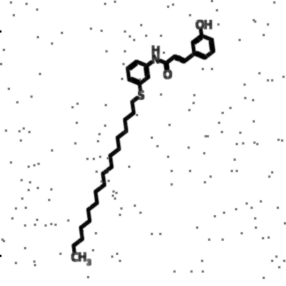 CCCCCCCCCCCCCCCCCCSc1cccc(NC(=O)C=Cc2cccc(O)c2)c1